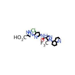 O=C(O)c1cn(-c2ncc(NC(=O)c3cnn(-c4cccc5ncccc45)c3C(F)(F)F)cc2Cl)nn1